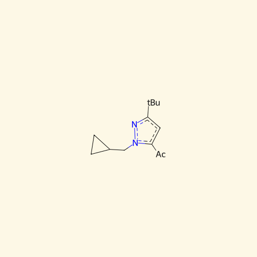 CC(=O)c1cc(C(C)(C)C)nn1CC1CC1